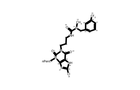 CCCCCn1c(=O)n(CCCNC(=O)N(C)Cc2cccc(C(F)(F)F)c2)c(=O)c2[nH]c(Cl)nc21